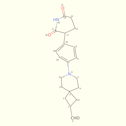 O=CC1CC2(CCN(c3ccc(C4CCC(=O)NC4=O)cc3)CC2)C1